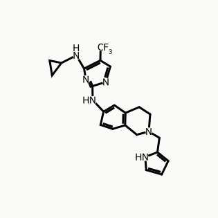 FC(F)(F)c1cnc(Nc2ccc3c(c2)CCN(Cc2ccc[nH]2)C3)nc1NC1CC1